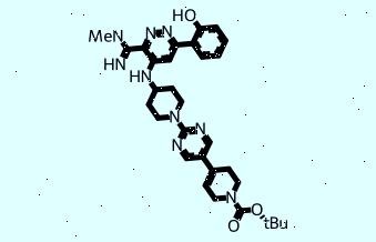 CNC(=N)c1nnc(-c2ccccc2O)cc1NC1CCN(c2ncc(C3=CCN(C(=O)OC(C)(C)C)CC3)cn2)CC1